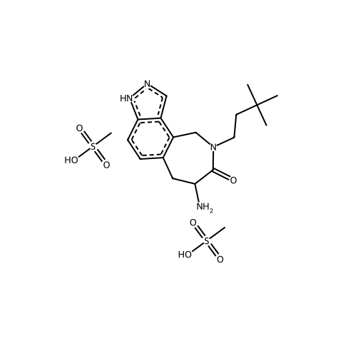 CC(C)(C)CCN1Cc2c(ccc3[nH]ncc23)CC(N)C1=O.CS(=O)(=O)O.CS(=O)(=O)O